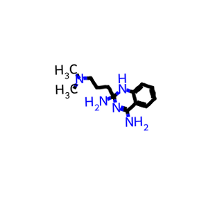 CN(C)CCCC1(N)N=C(N)c2ccccc2N1